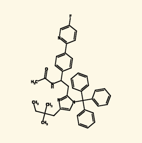 CCC(C)(C)Cc1cn(C(c2ccccc2)(c2ccccc2)c2ccccc2)c(CC(NC(C)=O)c2ccc(-c3ccc(F)cn3)cc2)n1